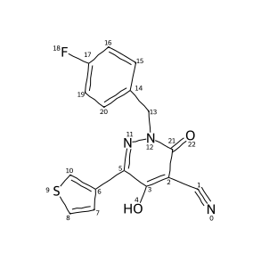 N#Cc1c(O)c(-c2ccsc2)nn(Cc2ccc(F)cc2)c1=O